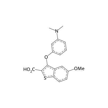 COc1ccc2sc(C(=O)O)c(Oc3cccc(N(C)C)c3)c2c1